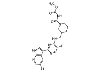 COC(=O)NC(=O)N1CCCC(CNc2nc(-c3c[nH]c4ncc(Cl)cc34)ncc2F)C1